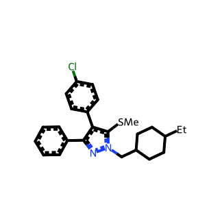 CCC1CCC(Cn2nc(-c3ccccc3)c(-c3ccc(Cl)cc3)c2SC)CC1